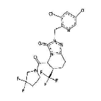 O=C([C@H]1[C@H](C(F)(F)F)CCc2nn(Cc3ncc(Cl)cc3Cl)c(=O)n21)N1CCC(F)(F)C1